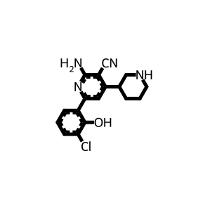 N#Cc1c(C2CCCNC2)cc(-c2cccc(Cl)c2O)nc1N